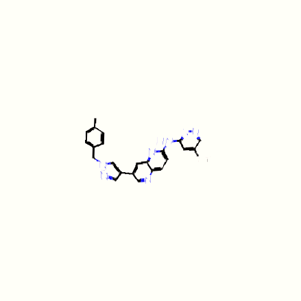 Cc1ccc(Cn2cc(-c3cnc4ccc(Nc5cc(C(C)C)cnn5)nc4c3)cn2)cc1